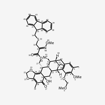 COCOc1c(OC)c(C)cc2c1[C@@H]1C3C[C@]4(O)C(=O)C(C)=C5OCOC5=C4[C@H](COC(=O)C(CSCC4c5ccccc5-c5ccccc54)=NOC)N3[C@@H](C#N)[C@H](C2)N1C